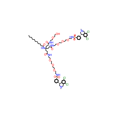 CCCCCCCCCCC(=O)NC(CCC(=O)NCCOCCO)(CCC(=O)NCCOCCOCCOCCNS(=O)(=O)c1cccc([C@@H]2CN(C)Cc3c(Cl)cc(Cl)cc32)c1)CCC(=O)NCCOCCOCCOCCNS(=O)(=O)c1cccc([C@@H]2CN(C)Cc3c(Cl)cc(Cl)cc32)c1